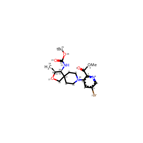 COC(=O)c1ncc(Br)cc1N1CCC2(CC1)CO[C@@H](C)[C@H]2NC(=O)OC(C)(C)C